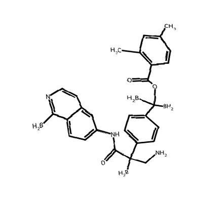 Bc1nccc2cc(NC(=O)C(B)(CN)c3ccc(C(B)(B)OC(=O)c4ccc(C)cc4C)cc3)ccc12